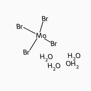 O.O.O.O.[Br][Mo]([Br])([Br])[Br]